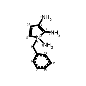 NC1=C(N)[N+](N)(Cc2ccccc2)C=C1